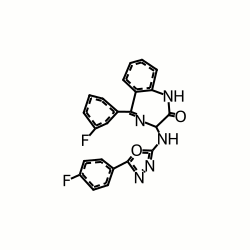 O=C1Nc2ccccc2C(c2cccc(F)c2)=NC1Nc1nnc(-c2ccc(F)cc2)o1